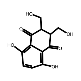 O=C1c2c(O)ccc(O)c2C(=O)C(CO)C1CO